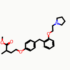 COC(=O)C(C)CCOc1ccc(Cc2[c]cccc2OCCN2CCCC2)cc1